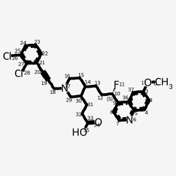 COc1ccc2nccc([C@@H](F)CCC3CCN(CC#Cc4cccc(Cl)c4Cl)CC3CCC(=O)O)c2c1